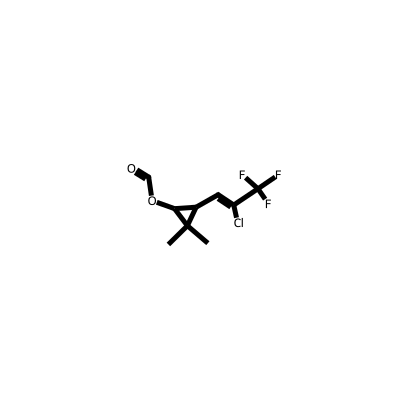 CC1(C)C(/C=C(\Cl)C(F)(F)F)C1OC=O